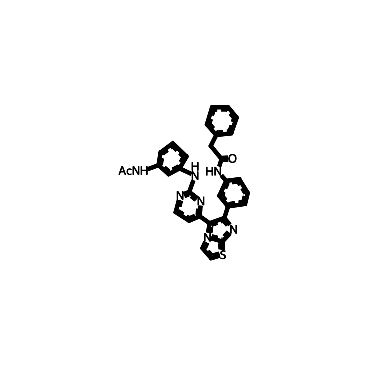 CC(=O)Nc1cccc(Nc2nccc(-c3c(-c4cccc(NC(=O)Cc5ccccc5)c4)nc4sccn34)n2)c1